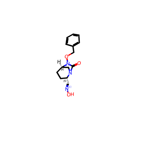 O=C1N2C[C@@H](CC[C@H]2/C=N/O)N1OCc1ccccc1